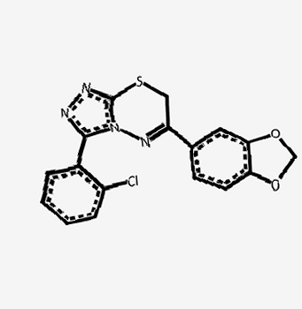 Clc1ccccc1-c1nnc2n1N=C(c1ccc3c(c1)OCO3)CS2